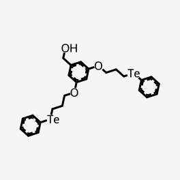 OCc1cc(OCCC[Te]c2ccccc2)cc(OCCC[Te]c2ccccc2)c1